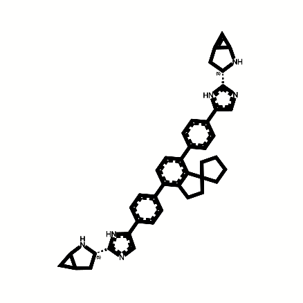 C1=C2C[C@@H](c3ncc(-c4ccc(-c5ccc(-c6ccc(-c7cnc([C@@H]8CC9CC9N8)[nH]7)cc6)c6c5C5(CCCC5)CC6)cc4)[nH]3)NC12